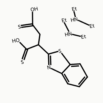 CCNCC.CCNCC.OC(=S)CC(C(O)=S)c1nc2ccccc2s1